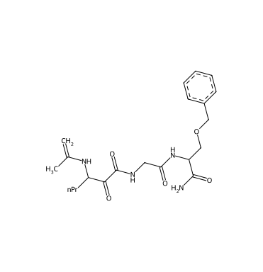 C=C(C)NC(CCC)C(=O)C(=O)NCC(=O)NC(COCc1ccccc1)C(N)=O